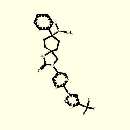 CN(C)[C@]1(c2ccccc2)CC[C@@]2(CC1)CN(c1cnc(-n3cc(C(F)(F)F)nn3)nc1)C(=O)N2